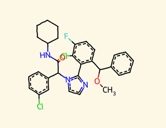 COC(c1ccccc1)c1ccc(F)c(Cl)c1-c1nccn1C(C(=O)NC1CCCCC1)c1cccc(Cl)c1